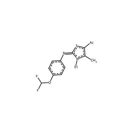 CCn1c(C)c(C(C)=O)sc1=Nc1ccc(OC(F)F)cc1